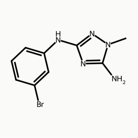 Cn1nc(Nc2cccc(Br)c2)nc1N